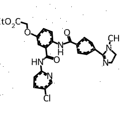 CCOC(=O)COc1ccc(NC(=O)c2ccc(C3=NCCN3C)cc2)c(C(=O)Nc2ccc(Cl)cn2)c1